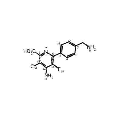 NCc1ccc(-c2nc(C(=O)O)c(Cl)c(N)c2F)cc1